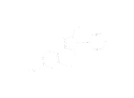 CC(=O)Nc1ccc(-c2nc(C)c(-c3cccnc3)n2O)c(C)c1